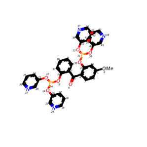 COc1ccc(C(=O)c2ccccc2OP(Oc2cccnc2)Oc2cccnc2)c(OP(Oc2cccnc2)Oc2cccnc2)c1